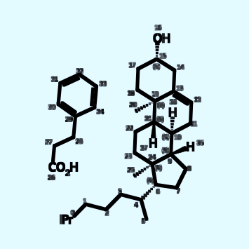 CC(C)CCCC(C)[C@H]1CC[C@H]2[C@@H]3CC=C4C[C@@H](O)CC[C@]4(C)[C@H]3CC[C@]12C.O=C(O)CCc1ccccc1